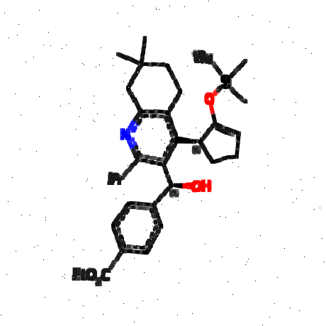 CCOC(=O)c1ccc([C@H](O)c2c(C(C)C)nc3c(c2[C@@H]2CCC=C2O[Si](C)(C)C(C)(C)C)CCC(C)(C)C3)cc1